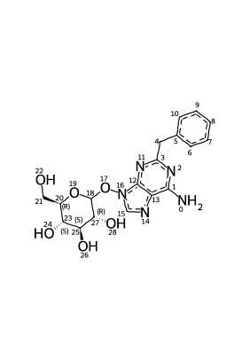 Nc1nc(Cc2ccccc2)nc2c1ncn2OC1O[C@H](CO)[C@@H](O)[C@H](O)[C@H]1O